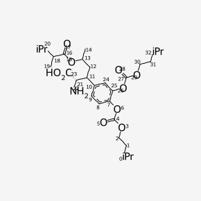 CC(C)CCOC(=O)Oc1ccc(C(CC(C)OC(=O)C(C)C(C)C)[C@H](N)C(=O)O)cc1OC(=O)OCCC(C)C